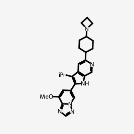 COc1cc(-c2[nH]c3cnc(C4CCC(N5CCC5)CC4)cc3c2C(C)C)cn2ncnc12